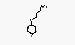 COCCCOC1CCN(I)CC1